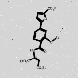 CCOC(=O)C[C@H](NC(=O)c1ccc(-c2ccc(C(=O)O)o2)cc1OCC)C(=O)OCC